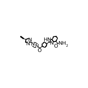 C#Cc1cnc(N2CCN(C(=O)c3ccc(-c4nc5c(C(N)=O)cccc5[nH]4)cc3)CC2)nc1